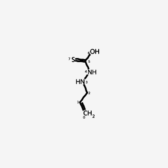 C=CCNNC(O)=S